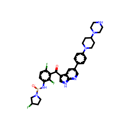 O=C(c1c(F)ccc(N[S+]([O-])N2CCC(F)C2)c1F)c1c[nH]c2ncc(-c3ccc(N4CCC(N5CCNCC5)CC4)cc3)cc12